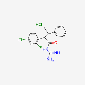 CC(c1ccccc1)C(C(=O)NC(=N)N)c1ccc(Cl)cc1F.Cl